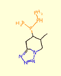 CC1Cn2nnnc2CC1P(P)PP